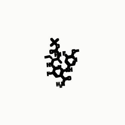 CC[C@@H](Nc1nc(Nc2cnc(OC)c(F)c2)c(C(N)=O)cc1F)[C@H](C)NC(=O)OC(C)(C)C